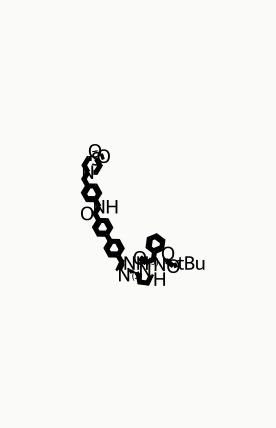 CC(C)(C)OC(=O)N[C@H](C(=O)N1CCC[C@H]1c1ncc(-c2ccc(-c3ccc(C(=O)Nc4ccc(CN5CCS(=O)(=O)CC5)cc4)cc3)cc2)[nH]1)c1ccccc1